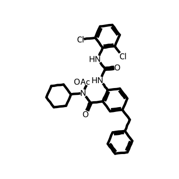 CC(=O)ON(C(=O)c1cc(Cc2ccccc2)ccc1NC(=O)Nc1c(Cl)cccc1Cl)C1CCCCC1